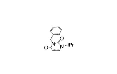 CC(C)n1ccc(=O)n(Cc2ccccc2)c1=O